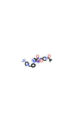 CN(C)C1CCN(Cc2cccc(-n3ncc4c(=O)n(CC5(O)CCN(C(=O)C6CC6)CC5)cnc43)c2)CC1